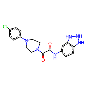 O=C(Nc1ccc2c(c1)NNN2)C(=O)N1CCN(c2ccc(Cl)cc2)CC1